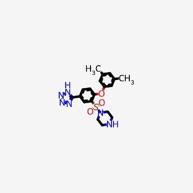 Cc1cc(C)cc(Oc2ccc(-c3nnn[nH]3)cc2S(=O)(=O)N2CCNCC2)c1